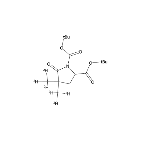 [2H]C([2H])([2H])C1(C([2H])([2H])[2H])CC(C(=O)OC(C)(C)C)N(C(=O)OC(C)(C)C)C1=O